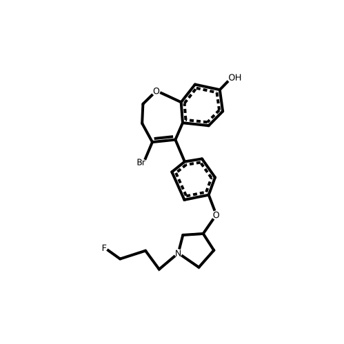 Oc1ccc2c(c1)OCCC(Br)=C2c1ccc(OC2CCN(CCCF)C2)cc1